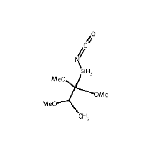 COC(C)C(OC)(OC)[SiH2]N=C=O